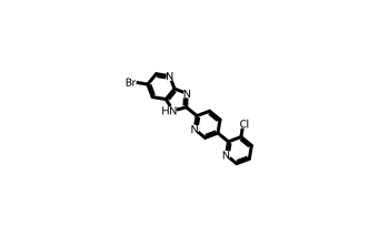 Clc1cccnc1-c1ccc(-c2nc3ncc(Br)cc3[nH]2)nc1